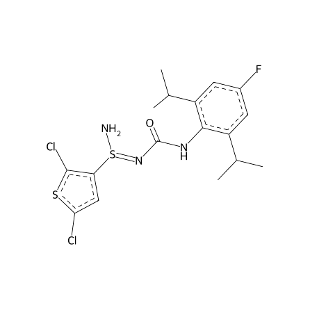 CC(C)c1cc(F)cc(C(C)C)c1NC(=O)/N=S(\N)c1cc(Cl)sc1Cl